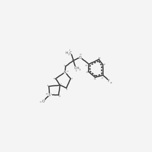 CC(C)(CN1CCC2(C1)C[S+]([O-])C2)Oc1ccc(F)cc1